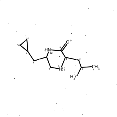 CC(C)CC1NCC(CC2CC2)NC1=O